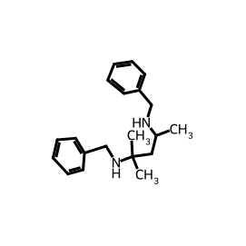 CC(CC(C)(C)NCc1ccccc1)NCc1ccccc1